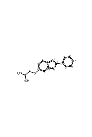 CC(O)COc1ccc2sc(-c3ccccc3)nc2c1